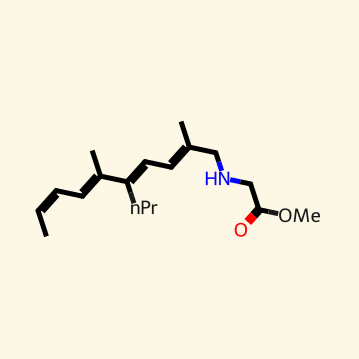 C\C=C/C=C(C)/C(=C/C=C(\C)CNCC(=O)OC)CCC